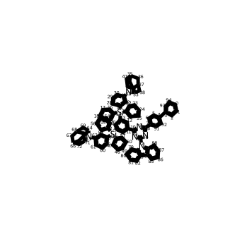 c1ccc(-c2ccc(-c3nc(-c4cc([Si](c5ccccc5)(c5ccccc5)c5cccc(N6C7CC8CC(C7)CC6C8)c5)cc([Si](c5ccccc5)(c5ccccc5)c5cccc(N6C7CC8CC(C7)CC6C8)c5)c4)nc(-n4c5ccccc5c5ccccc54)n3)cc2)cc1